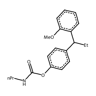 CCCNC(=O)Oc1ccc([C](CC)c2ccccc2OC)cc1